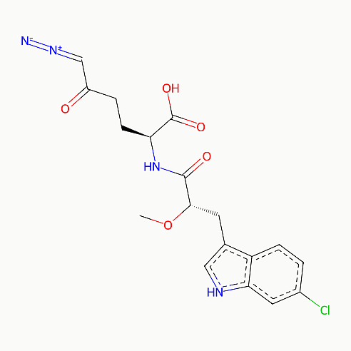 CO[C@@H](Cc1c[nH]c2cc(Cl)ccc12)C(=O)N[C@@H](CCC(=O)C=[N+]=[N-])C(=O)O